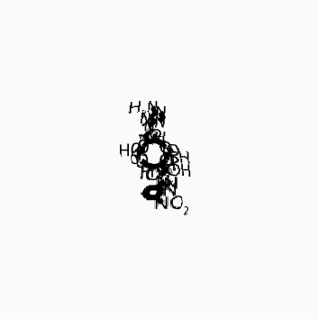 C[C@@H]1C2OP(=O)(O)OC[C@H]3O[C@@H](n4nnc5c([N+](=O)[O-])cccc54)[C@H](O)[C@@H]3OP(=O)(S)OC[C@H]2O[C@H]1n1cnc2c(N)ncnc21